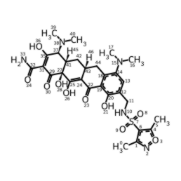 Cc1noc(C)c1S(=O)(=O)NCc1cc(N(C)C)c2c(c1O)C(=O)C1=C(O)[C@]3(O)C(=O)C(C(N)=O)=C(O)[C@@H](N(C)C)[C@@H]3C[C@@H]1C2